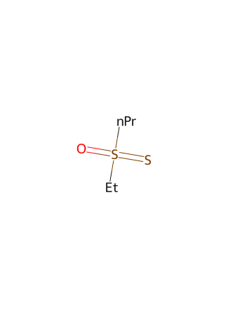 CCCS(=O)(=S)CC